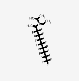 C=C(N(CC)C(C)O)C(F)(F)C(F)(F)C(F)(F)C(F)(F)C(F)(F)C(F)(F)C(F)(F)C(F)(F)F